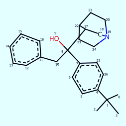 CC(C)(C)c1ccc(C(O)(Cc2ccccc2)C2CN3CCC2CC3)cc1